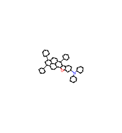 c1ccc(-c2cc(-c3ccccc3)c3ccc4c5oc6cc(N(c7ccccc7)c7ccccc7)ccc6c5c(-c5ccccc5)c5ccc2c3c54)cc1